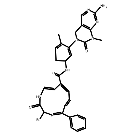 CCC(C)C1\N=C(c2ccccc2)/C=C/C=C(C(=O)NC2C=C(N3Cc4cnc(N)nc4N(C)C3=O)C(C)=CC2)\C=C\NC1=O